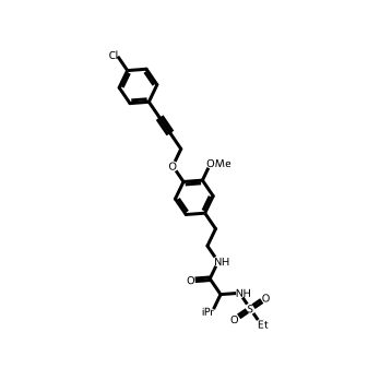 CCS(=O)(=O)NC(C(=O)NCCc1ccc(OCC#Cc2ccc(Cl)cc2)c(OC)c1)C(C)C